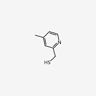 Cc1ccnc(CS)c1